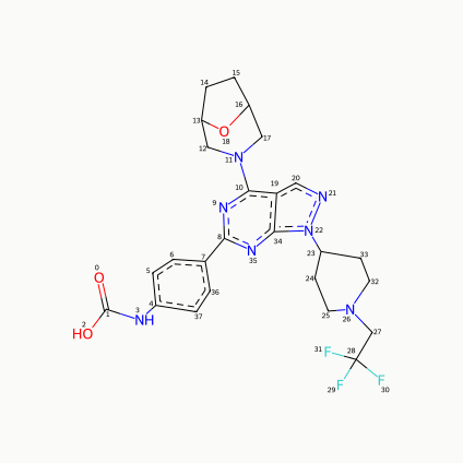 O=C(O)Nc1ccc(-c2nc(N3CC4CCC(C3)O4)c3cnn(C4CCN(CC(F)(F)F)CC4)c3n2)cc1